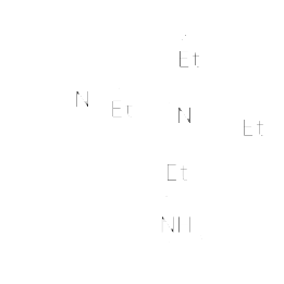 C#N.CC[N+](CC)(CC)CC.N